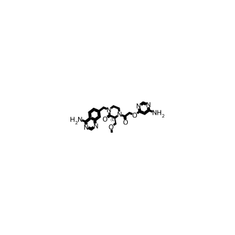 COC[C@H]1C(=O)N(Cc2ccc3c(N)ncnc3c2)CCN1C(=O)COc1cc(N)ncn1